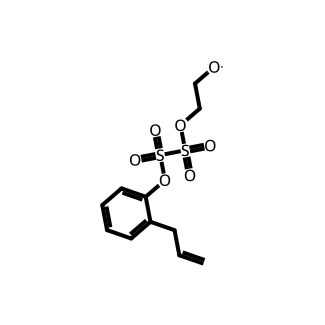 C=CCc1ccccc1OS(=O)(=O)S(=O)(=O)OCC[O]